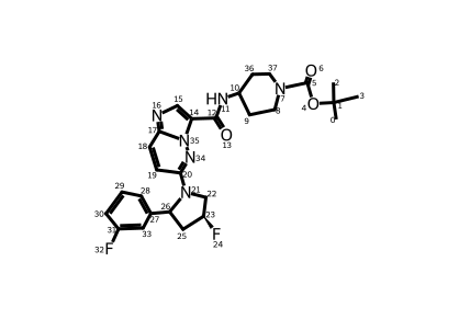 CC(C)(C)OC(=O)N1CCC(NC(=O)c2cnc3ccc(N4C[C@@H](F)CC4c4cccc(F)c4)nn23)CC1